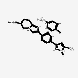 CC(=O)NC1CCc2nc(-c3ccc(-c4cc(C(F)(F)F)n(C)n4)cc3)cn2C1.Cc1ccc(S(=O)(=O)O)cc1